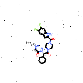 C[C@@H](C(=O)N[C@H](C(=O)N1CCN(C(=O)c2cc3cc(F)c(F)cc3[nH]2)CC1)C1CCCCC1)N(C)C(=O)O